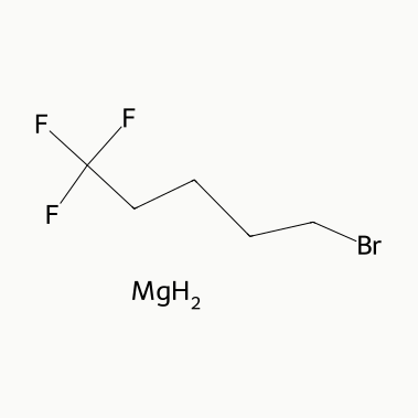 FC(F)(F)CCCCBr.[MgH2]